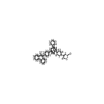 C=C/C=C(\C=C)c1ccc(-c2nc(-c3ccccc3)cc(-c3ccc(-c4c(C)c5ccccc5c5ccccc45)cc3)n2)cc1